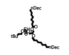 CCCCCCCCCCCCCCCC/C=C\OC(COC(=O)CCCCCCCCCCCCCCCCC)COP(C)(=O)OCCC(C)(C)C